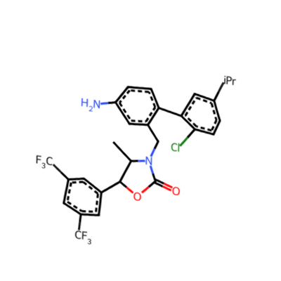 CC(C)c1ccc(Cl)c(-c2ccc(N)cc2CN2C(=O)OC(c3cc(C(F)(F)F)cc(C(F)(F)F)c3)C2C)c1